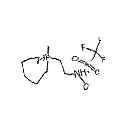 C[PH]1(CC[NH+]([O-])S(=O)(=O)C(F)(F)F)CCCCC1